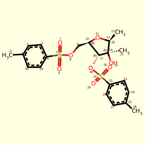 Cc1ccc(S(=O)(=O)OC[C@H]2O[C@@H](C)[C@@](C)(O)[C@@H]2OS(=O)(=O)c2ccc(C)cc2)cc1